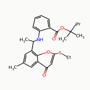 CCSc1cc(=O)c2cc(C)cc(C(C)Nc3ccccc3C(=O)OC(C)(C)C(C)C)c2o1